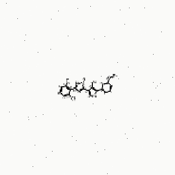 CCOc1cccc(-c2scc(-c3nc(-c4c(F)cccc4Cl)nn3C)c2C)c1